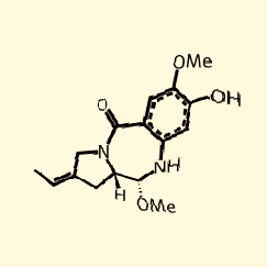 C/C=C1/C[C@H]2[C@@H](OC)Nc3cc(O)c(OC)cc3C(=O)N2C1